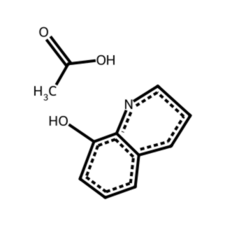 CC(=O)O.Oc1cccc2cccnc12